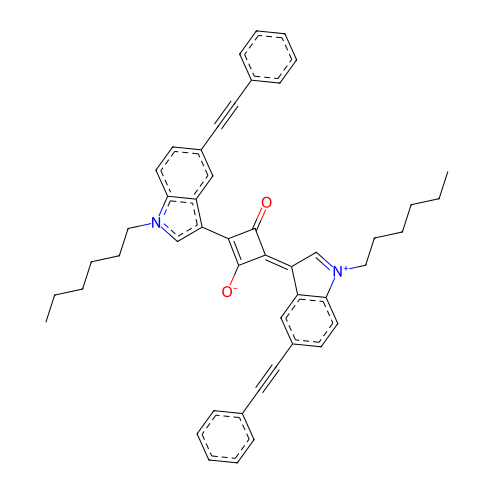 CCCCCCn1cc(C2=C([O-])C(=C3C=[N+](CCCCCC)c4ccc(C#Cc5ccccc5)cc43)C2=O)c2cc(C#Cc3ccccc3)ccc21